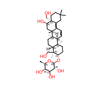 C[C@H]1O[C@@H](O[C@H]2CC[C@@]3(C)[C@@H](CC[C@]4(C)[C@@H]3C=CC3=C5CC(C)(C)CC[C@]5(CO)[C@H](O)C[C@]34C)[C@]2(C)CO)[C@H](O)[C@@H](O)[C@H]1O